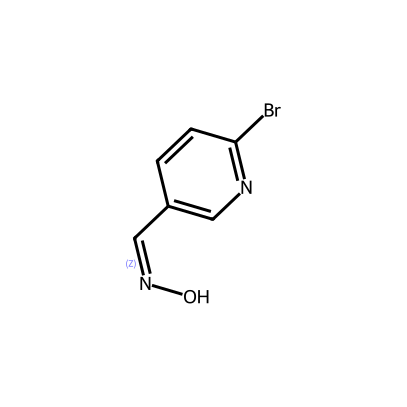 O/N=C\c1ccc(Br)nc1